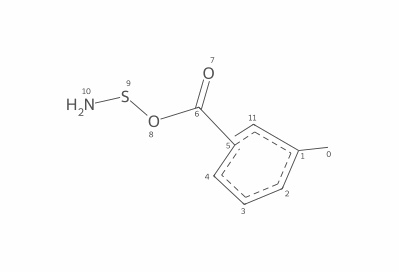 Cc1cccc(C(=O)OSN)c1